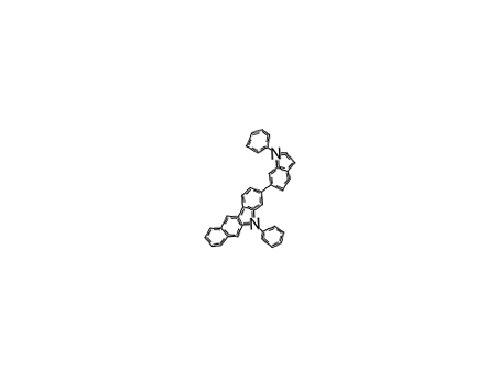 c1ccc(-n2ccc3ccc(-c4ccc5c6cc7ccccc7cc6n(-c6ccccc6)c5c4)cc32)cc1